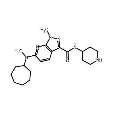 CN(c1ccc2c(C(=O)NC3CCNCC3)nn(C)c2n1)C1CCCCCC1